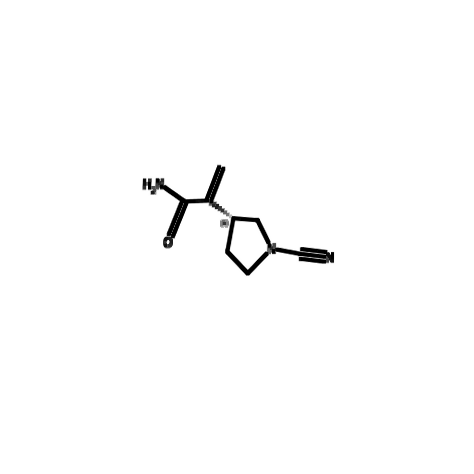 C=C(C(N)=O)[C@H]1CCN(C#N)C1